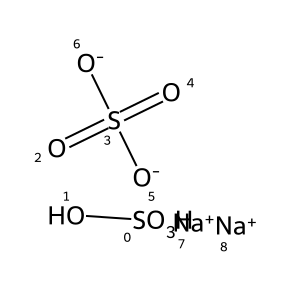 O=S(=O)(O)O.O=S(=O)([O-])[O-].[Na+].[Na+]